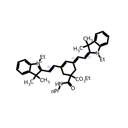 CCCNC(=O)C1(C(=O)OCC)CC(/C=C/C2=[N+](CC)c3ccccc3C2(C)C)=CC(=C/C=C2/N(CC)c3ccccc3C2(C)C)/C1